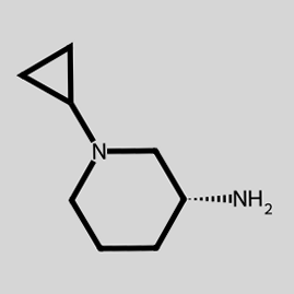 N[C@@H]1CCCN(C2CC2)C1